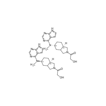 CN(c1ncnc2[nH]ccc12)[C@@H]1CC[C@H]2CN(C(=O)CO)CC2C1.CN(c1ncnc2[nH]ccc12)[C@H]1CC[C@H]2CN(C(=O)CO)CC2C1